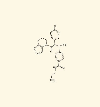 CCCC(c1ccc(C(=O)NCCC(=O)O)cc1)C(C(=O)N1CCCc2ccccc21)c1ccc(Cl)cc1